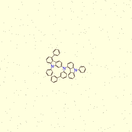 c1ccc(-c2cccc(N(c3ccc4c5c(-c6ccccc6)cccc5n(-c5ccccc5)c4c3)c3cccc4c3c3ccccc3n4-c3ccccc3)c2)cc1